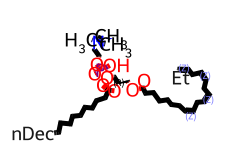 CC/C=C\C/C=C\C/C=C\C/C=C\CCCCCCC(=O)OC[C@H](COP(=O)(O)OCC[N+](C)(C)C)OC(=O)CCCCCCCCCCCCCCCCCCC